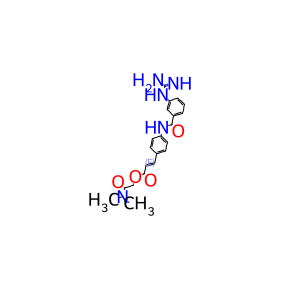 CN(C)C(=O)COC(=O)/C=C/c1ccc(NC(=O)c2cccc(NC(=N)N)c2)cc1